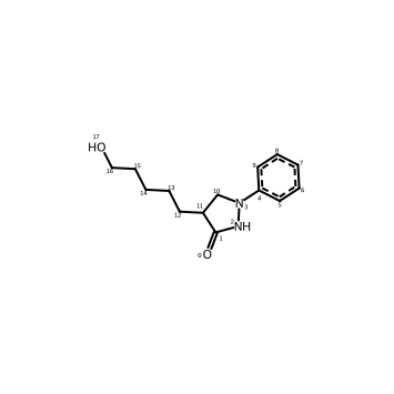 O=C1NN(c2ccccc2)CC1CCCCCO